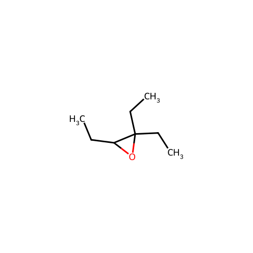 CCC1OC1(CC)CC